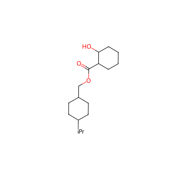 CC(C)C1CCC(COC(=O)C2CCCCC2O)CC1